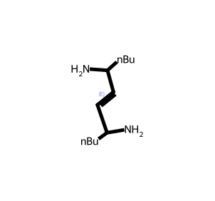 CCCCC(N)/C=C/C(N)CCCC